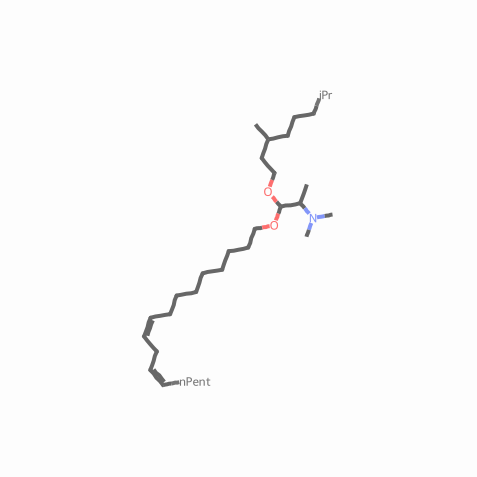 CCCCC/C=C\C/C=C\CCCCCCCCOC(OCCC(C)CCCC(C)C)C(C)N(C)C